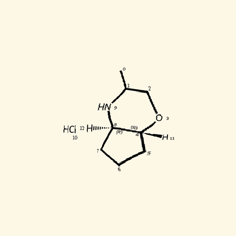 CC1CO[C@@H]2CCC[C@H]2N1.Cl